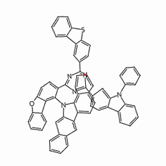 c1ccc(-n2c3ccccc3c3ccc(-c4nc(-c5ccc6sc7ccccc7c6c5)nc(-c5ccc6oc7ccccc7c6c5-n5c6cc7ccccc7cc6c6ccc7ccccc7c65)n4)cc32)cc1